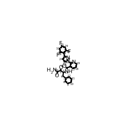 NC(=O)C(=O)C(Cc1ccccc1)NC(=O)c1cccnc1-n1ccc(-c2c(F)cc(F)cc2F)n1